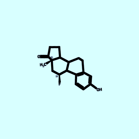 C[C@]12C[C@H](F)C3c4ccc(O)cc4CCC3C1CCC2=O